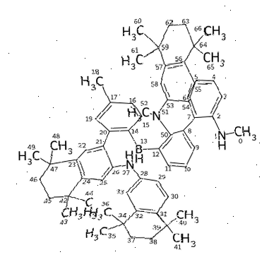 CNc1ccccc1-c1cccc(Bc2ccc(C)cc2-c2cc3c(cc2Nc2ccc4c(c2)C(C)(C)CCC4(C)C)C(C)(C)CCC3(C)C)c1N(C)c1ccc2c(c1)C(C)(C)CCC2(C)C